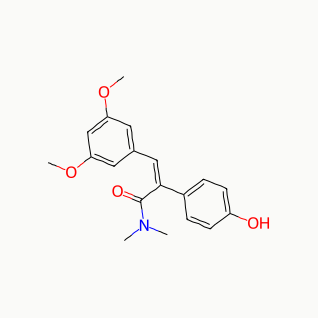 COc1cc(C=C(C(=O)N(C)C)c2ccc(O)cc2)cc(OC)c1